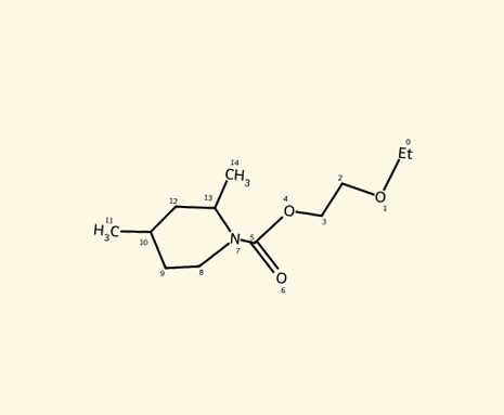 CCOCCOC(=O)N1CCC(C)CC1C